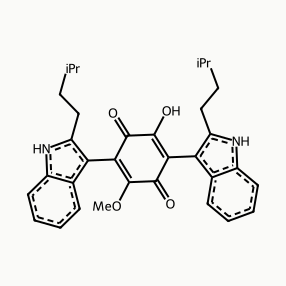 COC1=C(c2c(CCC(C)C)[nH]c3ccccc23)C(=O)C(O)=C(c2c(CCC(C)C)[nH]c3ccccc23)C1=O